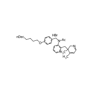 Br.CCCCCCCCCCCCCCOc1ccc(CN(C(C)=O)c2ccccc2CC2(C)CN=CC=C2C)cc1